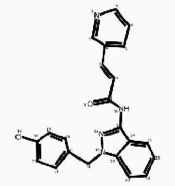 O=C(C=Cc1cccnc1)Nc1nn(Cc2ccc(Cl)cc2)c2ccccc12